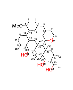 COC1CCC(CC2CCOCC2)CC1C1CCC(C)C2C(O)C3C(C)C4(C)C(O)C(C(C)O)C(C)CC4(C)CC3(C)CC12